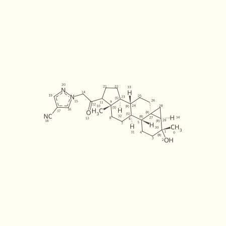 C[C@@]1(O)CC[C@@H]2[C@H]3CC[C@]4(C)C(C(=O)Cn5cc(C#N)cn5)CC[C@H]4[C@@H]3CC[C@@]23C[C@H]31